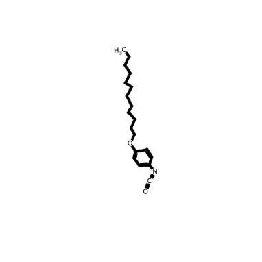 CCCCCCCCCCCCOc1ccc(N=C=O)cc1